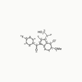 COc1ccc2c(c1Cl)c(C(C)C(=O)O)c(C)n2C(=O)c1ccc(F)cc1